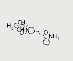 CC(C)(C)OC(=O)N1CCC(CCC(=O)c2ccccc2N)CC1